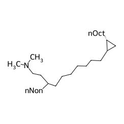 CCCCCCCCCC(CCCCCCCC1C[C@H]1CCCCCCCC)CCN(C)C